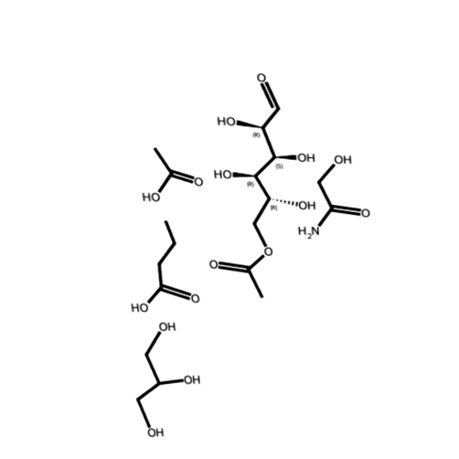 CC(=O)O.CC(=O)OC[C@@H](O)[C@@H](O)[C@H](O)[C@@H](O)C=O.CCCC(=O)O.NC(=O)CO.OCC(O)CO